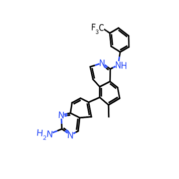 Cc1ccc2c(Nc3cccc(C(F)(F)F)c3)nccc2c1-c1ccc2nc(N)ncc2c1